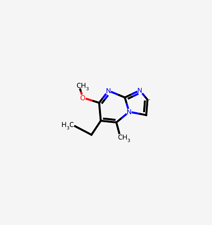 CCc1c(OC)nc2n[c]cn2c1C